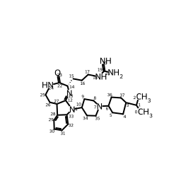 CC(C)C1CCC(N2CCC(N3/C4=N/[C@@H](CCCNC(=N)N)C(=O)NCCC4c4ccccc43)CC2)CC1